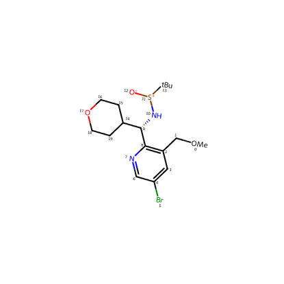 COCc1cc(Br)cnc1[C@@H](N[S+]([O-])C(C)(C)C)C1CCOCC1